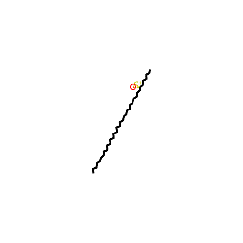 CCCCCCCCCCCCCCCCCCCCCCCCCCCCCC(CCCCCC)[S+](C)[O-]